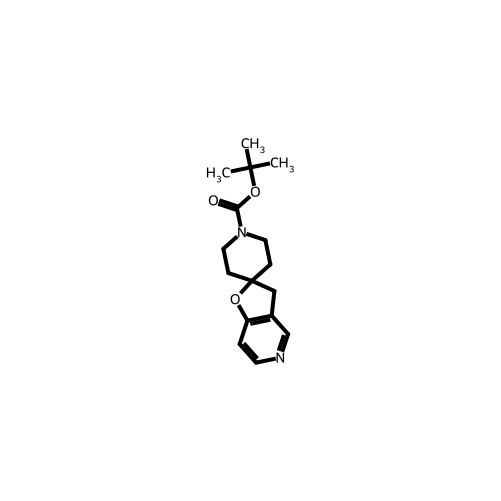 CC(C)(C)OC(=O)N1CCC2(CC1)Cc1cnccc1O2